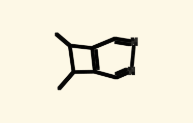 CC1c2cnncc2C1C